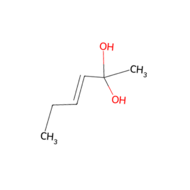 CCC=CC(C)(O)O